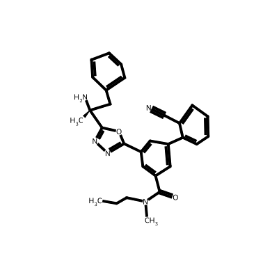 CCCN(C)C(=O)c1cc(-c2nnc([C@](C)(N)Cc3ccccc3)o2)cc(-c2ccccc2C#N)c1